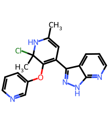 CC1=CC(c2n[nH]c3ncccc23)=C(Oc2cccnc2)C(C)(Cl)N1